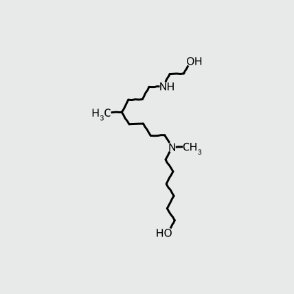 CC(CCCCN(C)CCCCCCO)CCCNCCO